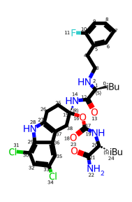 CCC(C)[C@H](NCCc1ccccc1F)C(=O)N[C@@]1(OC(=O)NC(C(N)=O)[C@@H](C)CC)CCc2[nH]c3c(Cl)cc(Cl)cc3c2C1